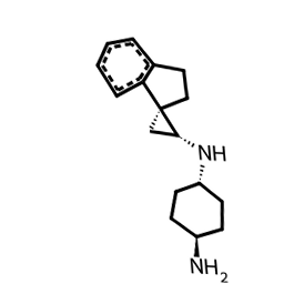 N[C@H]1CC[C@H](N[C@@H]2C[C@]23CCc2ccccc23)CC1